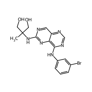 CC(CO)(CO)Nc1ncc2ncnc(Nc3cccc(Br)c3)c2n1